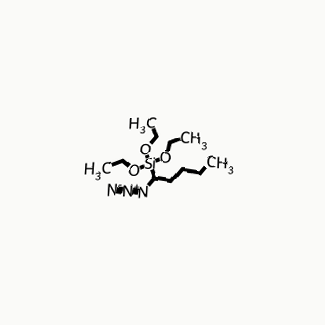 CCCCC(N=[N+]=[N-])[Si](OCC)(OCC)OCC